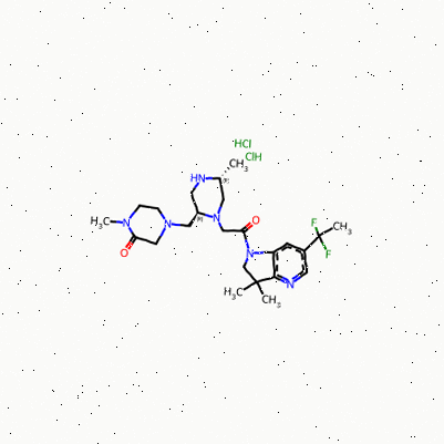 C[C@@H]1CN(CC(=O)N2CC(C)(C)c3ncc(C(C)(F)F)cc32)[C@@H](CN2CCN(C)C(=O)C2)CN1.Cl.Cl